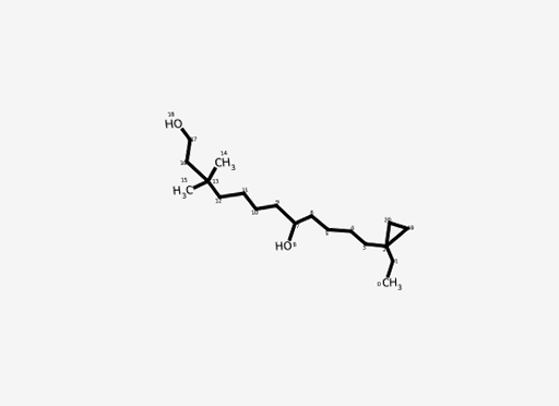 CCC1(CCCCC(O)CCCCC(C)(C)CCO)CC1